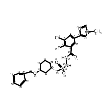 Cn1cnc(-c2cc(Cl)c(F)c(C(=O)NNS(=O)(=O)C[C@H]3CCC[C@H](OCc4ccccc4)C3)c2)c1